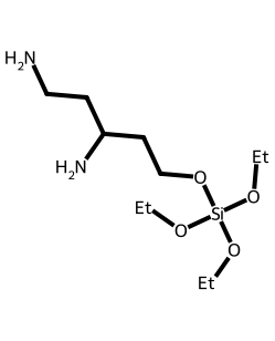 CCO[Si](OCC)(OCC)OCCC(N)CCN